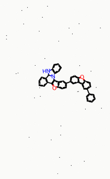 c1ccc(-c2ccc3oc4ccc(-c5ccc6oc7c(c6c5)N5c6ccccc6NC5c5ccccc5-7)cc4c3c2)cc1